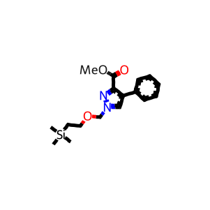 COC(=O)c1nn(COCC[Si](C)(C)C)cc1-c1ccccc1